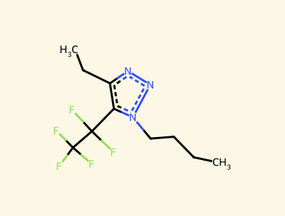 CCCCn1nnc(CC)c1C(F)(F)C(F)(F)F